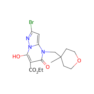 CCOC(=O)c1c(O)n2nc(Br)cc2n(CC2(C)CCOCC2)c1=O